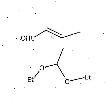 C/C=C/C=O.CCOC(C)OCC